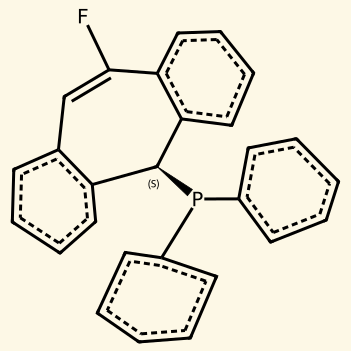 FC1=Cc2ccccc2[C@H](P(c2ccccc2)c2ccccc2)c2ccccc21